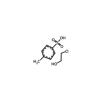 Cc1ccc(S(=O)(=O)O)cc1.OCCCl